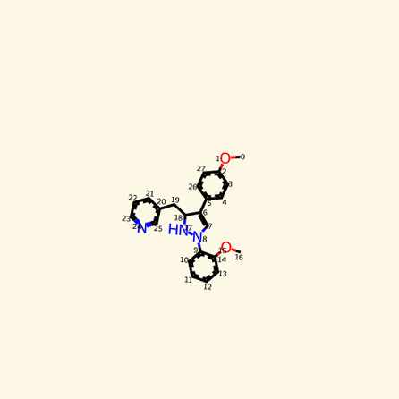 COc1ccc(C2=CN(c3ccccc3OC)NC2Cc2cccnc2)cc1